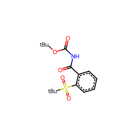 CC(C)(C)OC(=O)NC(=O)c1ccccc1S(=O)(=O)C(C)(C)C